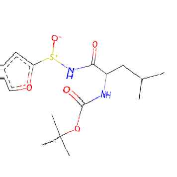 CC(C)CC(NC(=O)OC(C)(C)C)C(=O)N[S+]([O-])c1ccco1